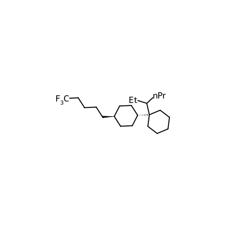 CCCC(CC)C1([C@H]2CC[C@H](CCCCC(F)(F)F)CC2)CCCCC1